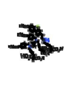 CCCCCCCCCc1ccc(CN(CC#CCC(C)(C(=O)O)C(=O)O)C(C)C)cc1.CCCCCCCCCc1ccc(CN(CC#CCC(C)(C(=O)O)C(=O)O)C2CC2)cc1.CCCCCCc1ccc(-c2ccc(CCNCC#CCC(C)(C(=O)O)C(=O)O)cc2F)cc1